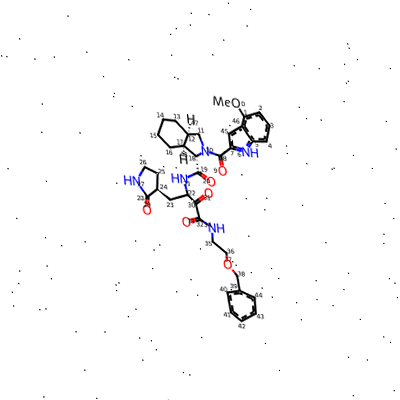 COc1cccc2[nH]c(C(=O)N3C[C@@H]4CCCC[C@@H]4[C@H]3C(=O)NC(C[C@@H]3CCNC3=O)C(=O)C(=O)NCCOCc3ccccc3)cc12